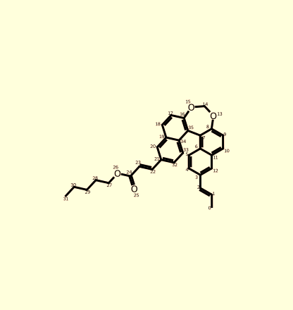 C/C=C/c1ccc2c3c(ccc2c1)OCOc1ccc2cc(/C=C/C(=O)OCCCCC)ccc2c1-3